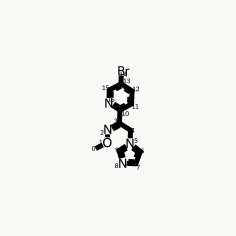 CO/N=C(\Cn1ccnc1)c1ccc(Br)cn1